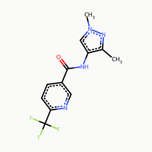 Cc1nn(C)cc1NC(=O)c1ccc(C(F)(F)F)nc1